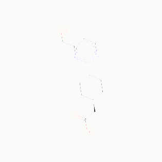 O=C(O)C[C@H]1CC[C@H](c2nccc(CO)n2)CC1